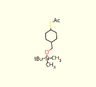 CC(=O)SC1CCC(CO[Si](C)(C)C(C)(C)C)CC1